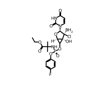 B[C@@]1(Cl)[C@H](n2ccc(=O)[nH]c2=O)O[C@@H]2C(OP(=O)(NC(C)(C)C(=O)OCC)Oc3ccc(F)cc3)[C@@]21O